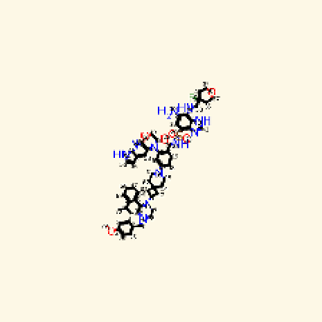 COc1ccc(CN2CCN(C3CC4(CCN(c5ccc(C(=O)NS(=O)(=O)c6cc(N)c(NCC7(F)CCOCC7)c7[nH]cnc67)c(N6CCOc7nc8[nH]ccc8cc76)c5)CC4)C3)C(c3ccccc3C(C)C)C2)cc1